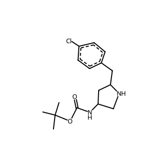 CC(C)(C)OC(=O)NC1CNC(Cc2ccc(Cl)cc2)C1